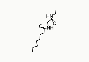 CCCCCCCC(=O)NCC(=O)NCC